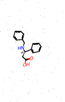 O=C(O)C[C@@H](NCc1ccccc1)c1ccccc1